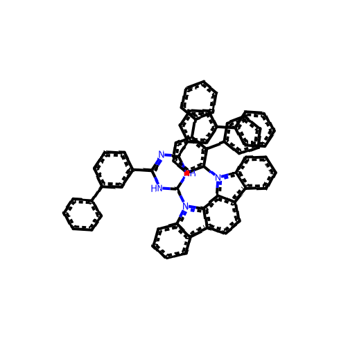 c1ccc(-c2cccc(C3=NC(c4cccc(-c5ccccc5)c4)NC(n4c5ccccc5c5ccc6c7ccccc7n(-c7cccc(-c8ccccc8)c7-c7ccccc7)c6c54)N3)c2)cc1